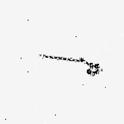 Cc1nc(Nc2ncc(C(=O)Nc3c(C)cccc3Cl)s2)cc(N2CCN(CCOCc3cn(CCOCCOCCOCCOCCOCCOCCOCCN)nn3)CC2)n1